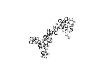 CC(C(=O)c1cccc(Cl)c1)N(COC(=O)CCCCC(=O)OCNS(=O)(=O)c1cc(C(=O)OCC(Cl)(Cl)Cl)c(NCc2ccco2)cc1Cl)C(C)(C)C